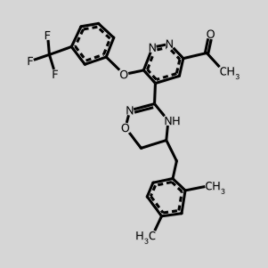 CC(=O)c1cc(C2=NOCC(Cc3ccc(C)cc3C)N2)c(Oc2cccc(C(F)(F)F)c2)nn1